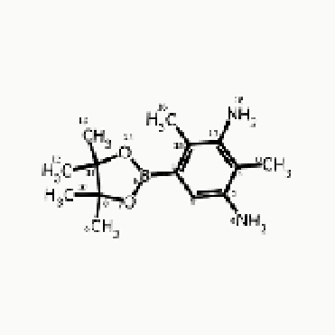 Cc1c(N)cc(B2OC(C)(C)C(C)(C)O2)c(C)c1N